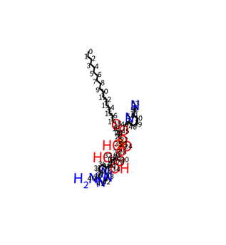 CCCCCCCCCCCCCCCCCCOC[C@H](COP(=O)(O)OC[C@@H](OC)[C@@H](O)[C@@H](O)c1ccc2c(N)ncnn12)OCc1cccc(C#N)n1